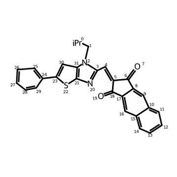 CC(C)Cn1c(C=C2C(=O)c3cc4ccccc4cc3C2=O)nc2sc(-c3ccccc3)cc21